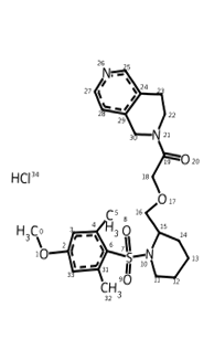 COc1cc(C)c(S(=O)(=O)N2CCCCC2COCC(=O)N2CCc3cnccc3C2)c(C)c1.Cl